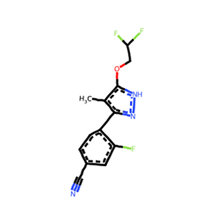 Cc1c(-c2ccc(C#N)cc2F)n[nH]c1OCC(F)F